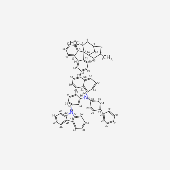 CC1CC2CC(C)C3(c4ccccc4-c4cc(-c5cccc6c(N(c7ccc(-c8ccccc8)cc7)c7cccc(-n8c9ccccc9c9ccccc98)c7)cccc56)ccc43)C(C1)C2